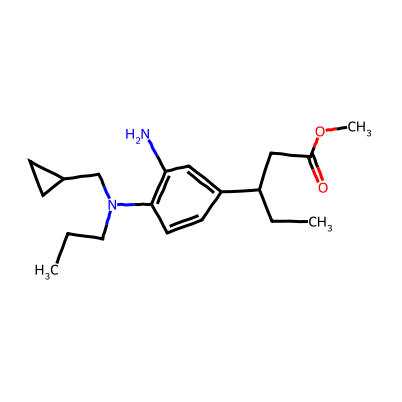 CCCN(CC1CC1)c1ccc(C(CC)CC(=O)OC)cc1N